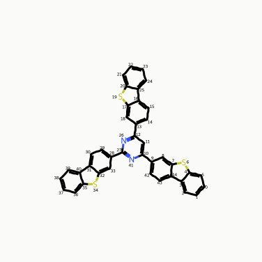 c1ccc2c(c1)sc1cc(-c3cc(-c4ccc5c(c4)sc4ccccc45)nc(-c4ccc5c(c4)sc4ccccc45)n3)ccc12